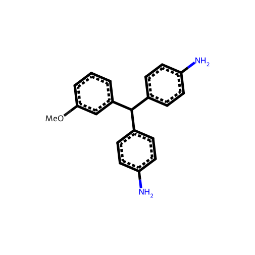 COc1cccc(C(c2ccc(N)cc2)c2ccc(N)cc2)c1